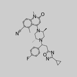 Cc1c(C#N)ccc2c1c(N1C[C@@H](C)N(C(Cc3nc(C4CC4)no3)c3ccc(F)cc3)C[C@@H]1C)cc(=O)n2C